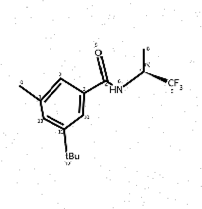 Cc1cc(C(=O)N[C@@H](C)C(F)(F)F)cc(C(C)(C)C)c1